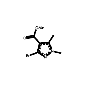 COC(=O)c1c(Br)nn(C)c1C